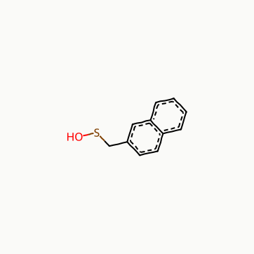 OSCc1ccc2ccccc2c1